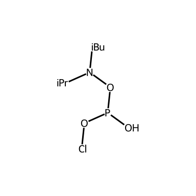 CCC(C)N(OP(O)OCl)C(C)C